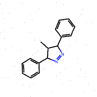 CC1C(c2ccccc2)N=NC1c1ccccc1